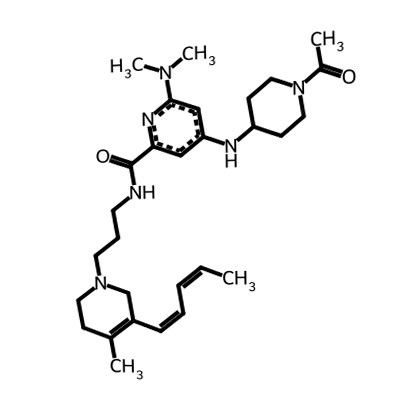 C/C=C\C=C/C1=C(C)CCN(CCCNC(=O)c2cc(NC3CCN(C(C)=O)CC3)cc(N(C)C)n2)C1